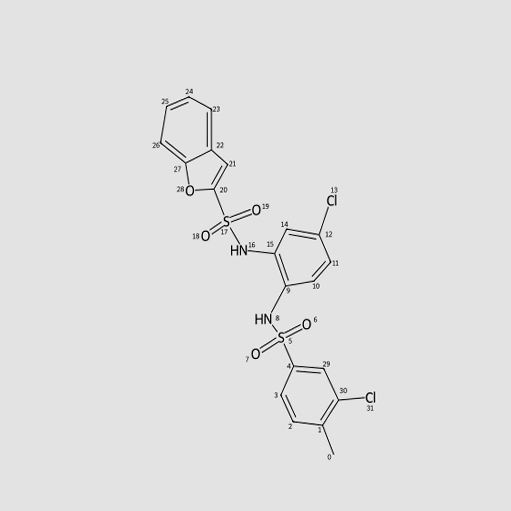 Cc1ccc(S(=O)(=O)Nc2ccc(Cl)cc2NS(=O)(=O)c2cc3ccccc3o2)cc1Cl